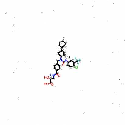 CN(C(=O)N(Cc1ccc(C(=O)NC[C@@H](O)C(=O)O)cc1)c1ccc(C2=CCCCC2)cc1)c1ccc(Cl)c(C(F)(F)F)c1